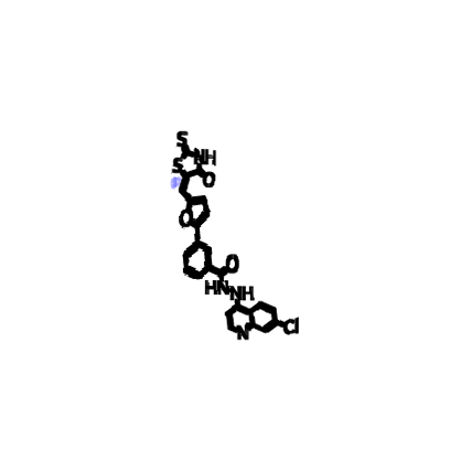 O=C1NC(=S)S/C1=C/c1ccc(-c2cccc(C(=O)NNc3ccnc4cc(Cl)ccc34)c2)o1